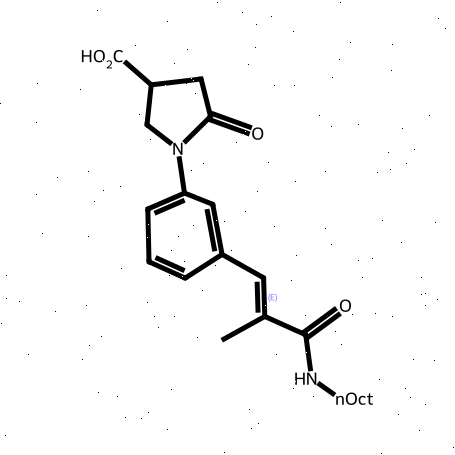 CCCCCCCCNC(=O)/C(C)=C/c1cccc(N2CC(C(=O)O)CC2=O)c1